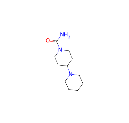 NC(=O)N1CCC(N2CCCCC2)CC1